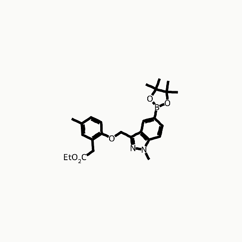 CCOC(=O)Cc1cc(C)ccc1OCc1nn(C)c2ccc(B3OC(C)(C)C(C)(C)O3)cc12